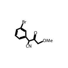 COCC(=O)C(C#N)c1cccc(Br)c1